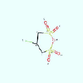 O=S1(=O)CC(F)CS(=O)(=O)O1